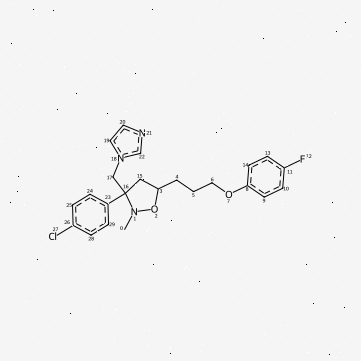 CN1OC(CCCOc2ccc(F)cc2)CC1(Cn1ccnc1)c1ccc(Cl)cc1